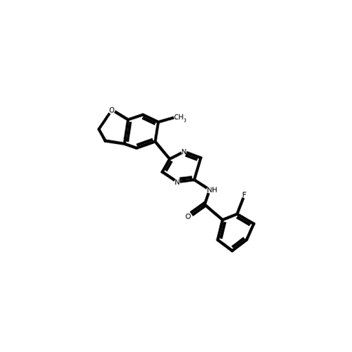 Cc1cc2c(cc1-c1cnc(NC(=O)c3ccccc3F)cn1)CCO2